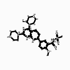 COc1ccc(-c2ccc3c(N4CCOC[C@@H]4C)nc(N4CCOCC4)nc3n2)cc1C(=O)NS(C)(=O)=O